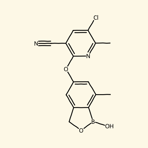 Cc1cc(Oc2nc(C)c(Cl)cc2C#N)cc2c1B(O)OC2